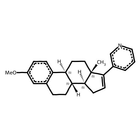 COc1ccc2c(c1)CC[C@@H]1[C@@H]2CC[C@]2(C)C(c3cccnc3)=CC[C@@H]12